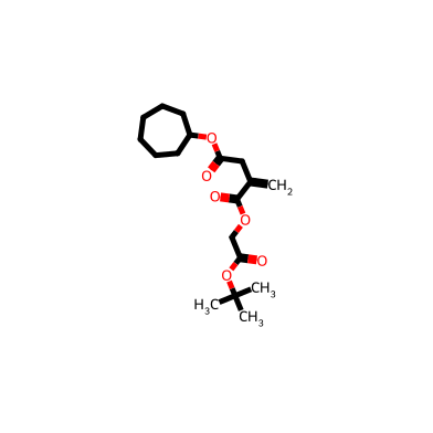 C=C(CC(=O)OC1CCCCCC1)C(=O)OCC(=O)OC(C)(C)C